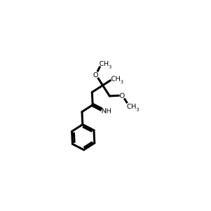 COCC(C)(CC(=N)Cc1ccccc1)OC